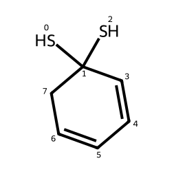 SC1(S)C=CC=CC1